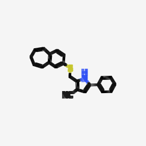 N#Cc1cc(-c2ccccc2)[nH]c1CSc1ccc2c(c1)C=CCC=C2